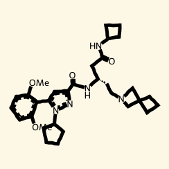 COc1cccc(OC)c1-c1cc(C(=O)N[C@@H](CCN2CC3(CCC3)C2)CC(=O)NC2CCC2)nn1C1CCCC1